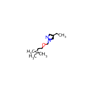 CCc1cnn(COCC[Si](C)(C)C)c1